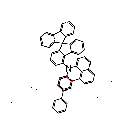 c1ccc(-c2cccc(-c3cccc4cccc(N(c5ccccc5)c5cccc6c5-c5ccccc5C65c6ccccc6-c6ccccc65)c34)c2)cc1